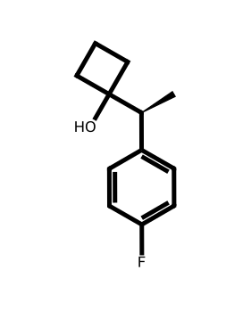 C[C@@H](c1ccc(F)cc1)C1(O)CCC1